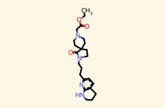 CCOC(=O)CN1CCC2(CC1)CCN(CCCc1ccc3c(n1)NCCC3)C2=O